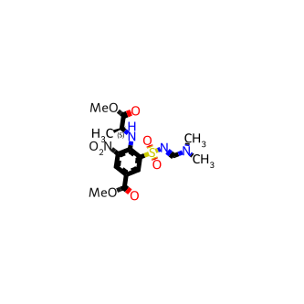 COC(=O)c1cc([N+](=O)[O-])c(N[C@@H](C)C(=O)OC)c(S(=O)(=O)N=CN(C)C)c1